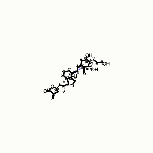 C=C1C[C@H](C[C@@H](C)[C@H]2CC[C@H]3/C(=C/C=C4/C[C@@H](O)[C@H](CCCO)[C@H](O)C4=C)CCC[C@]23C)OC1=O